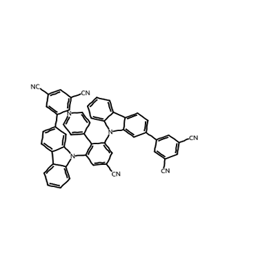 N#Cc1cc(C#N)cc(-c2ccc3c4ccccc4n(-c4cc(C#N)cc(-n5c6ccccc6c6ccc(-c7cc(C#N)cc(C#N)c7)cc65)c4-c4ccncc4)c3c2)c1